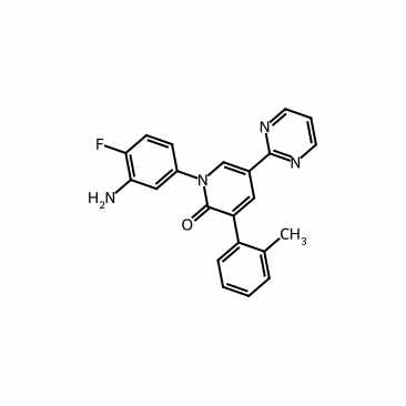 Cc1ccccc1-c1cc(-c2ncccn2)cn(-c2ccc(F)c(N)c2)c1=O